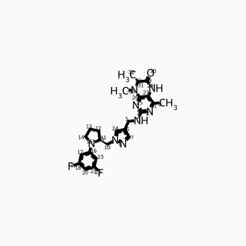 Cc1nc(NCc2cnn(C[C@@H]3CCCN3c3cc(F)cc(F)c3)c2)nc2c1NC(=O)[C@H](C)N2C